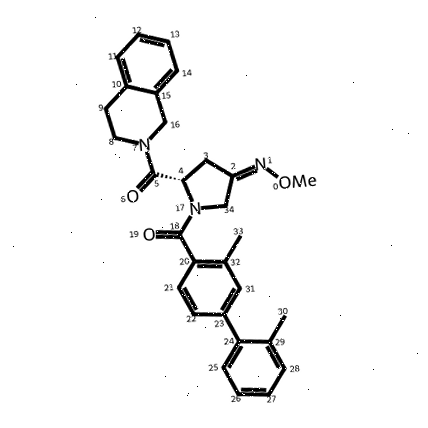 CON=C1C[C@@H](C(=O)N2CCc3ccccc3C2)N(C(=O)c2ccc(-c3ccccc3C)cc2C)C1